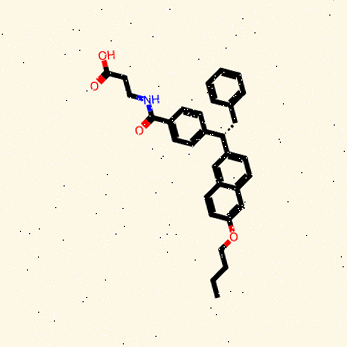 CCCCOc1ccc2cc([C@@H](Cc3ccccc3)c3ccc(C(=O)NCCC(=O)O)cc3)ccc2c1